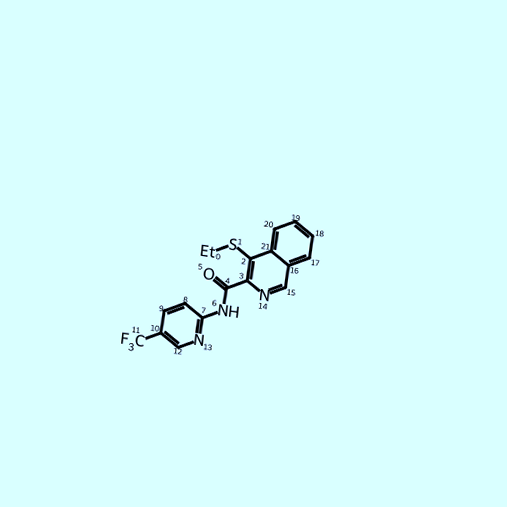 CCSc1c(C(=O)Nc2ccc(C(F)(F)F)cn2)ncc2ccccc12